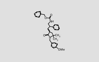 COc1ccc(CN2C(=O)C(=CC(CNC(=O)OCc3ccccc3)c3ccccc3)CC2(C)C)cc1